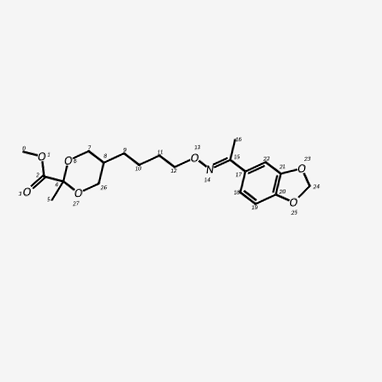 COC(=O)C1(C)OCC(CCCCON=C(C)c2ccc3c(c2)OCO3)CO1